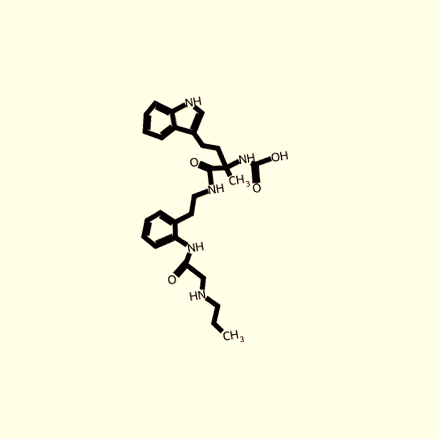 CCCNCC(=O)Nc1ccccc1CCNC(=O)C(C)(CCc1c[nH]c2ccccc12)NC(=O)O